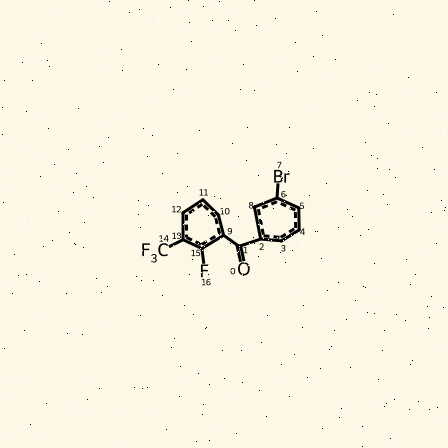 O=C(c1cccc(Br)c1)c1cccc(C(F)(F)F)c1F